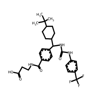 CC(C)(C)C1CCC(C(NC(=O)Nc2ccc(C(F)(F)F)cc2)c2ccc(C(=O)NCCC(=O)O)cc2)CC1